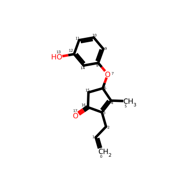 C=CCC1=C(C)C(Oc2cccc(O)c2)CC1=O